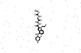 CN1CC[C@@H](Nc2cccc3c2cc(C(=O)NNC(=O)CNC(=O)OC(C)(C)C)n3CCF)[C@@H](F)C1